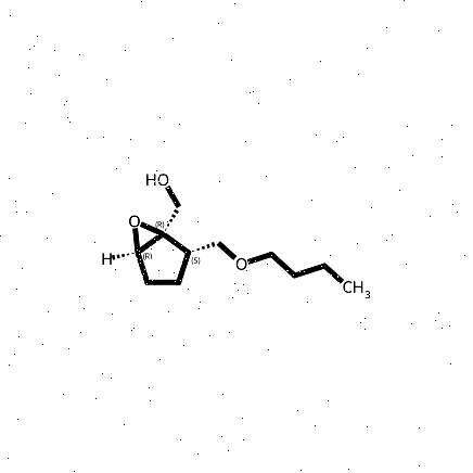 CCCCOC[C@@H]1CC[C@H]2O[C@@]12CO